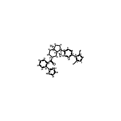 Cc1ccc(C)n1-c1ccc(N2CC[C@@H]3CCN(C(=O)c4ccccc4-n4nccn4)C[C@@H]32)nn1